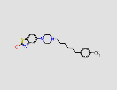 [O]c1nc2cc(N3CCN(CCCCCCc4ccc(C(F)(F)F)cc4)CC3)ccc2s1